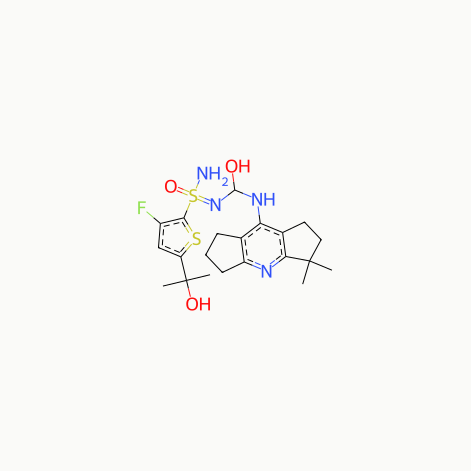 CC(C)(O)c1cc(F)c(S(N)(=O)=NC(O)Nc2c3c(nc4c2CCC4(C)C)CCC3)s1